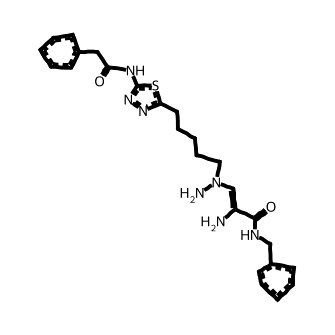 N/C(=C\N(N)CCCCCc1nnc(NC(=O)Cc2ccccc2)s1)C(=O)NCc1ccccc1